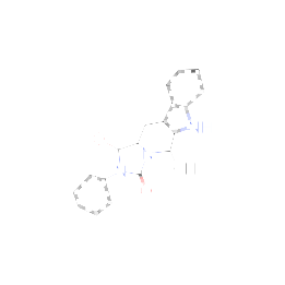 CC1c2[nH]c3ccccc3c2CC2C(O)N(c3ccccc3)C(=O)N12